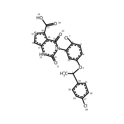 CC(Oc1ccc(Cl)c(-n2c(=O)[nH]c3csc(C(=O)O)c3c2=O)c1)c1ccc(Cl)cc1